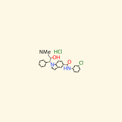 CNC[C@@H](O)[C@H](c1ccccc1)n1ccc2cc(C(=O)Nc3cccc(Cl)c3)ccc21.Cl